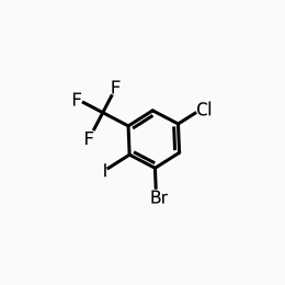 FC(F)(F)c1cc(Cl)cc(Br)c1I